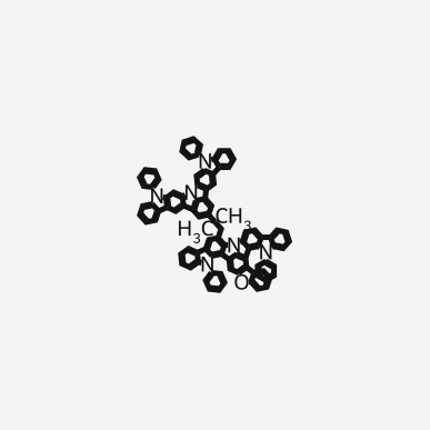 CC(C)(Cc1cc2c3ccccc3n(-c3ccccc3)c2c2c3cc4oc5ccccc5c4c4c5c6c(ccc5n(c12)c34)c1ccccc1n6-c1ccccc1)c1cc2c3cc4c5ccccc5n(-c5ccccc5)c4cc3n3c4cc5c(cc4c(c1)c23)c1ccccc1n5-c1ccccc1